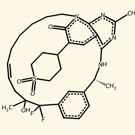 Cc1nc2c3cc(C4CCS(=O)(=O)CC4)c(=O)n(c3n1)CCCCC/C=C\CC(C)(O)C(F)(F)c1cccc(c1)[C@@H](C)N2